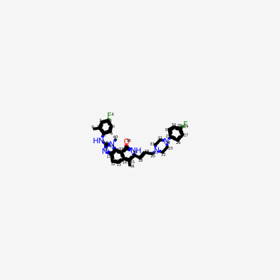 Cc1cc(F)ccc1Nc1nc2ccc3c(C)c(C=CCN4CCN(c5ccc(F)cc5)CC4)[nH]c(=O)c3c2n1C